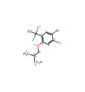 CCC(F)(F)c1cc(Br)c(F)cc1OC[C@H](C)C(=O)O